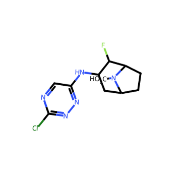 O=C(O)N1C2CCC1C(F)C(Nc1cnc(Cl)nn1)C2